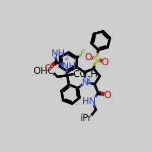 CC(C)CNC(=O)C1CC(S(=O)(=O)c2ccccc2)C(c2ccccc2F)N1c1ccccc1C(CC=O)(NC(N)=O)C(=O)O